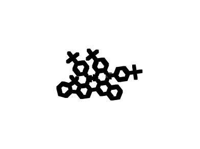 CC(C)(C)c1ccc(N2B3c4cc(C(C)(C)C)ccc4N(c4ccc(C(C)(C)C)cc4)c4c3c(cc3ccccc43)-c3ccc4c(c32)C(C)(C)c2ccccc2-4)cc1